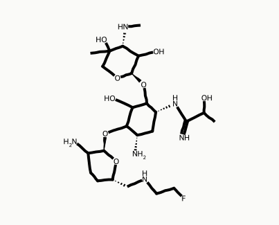 CN[C@@H]1C(O)[C@@H](OC2C(O)C(O[C@H]3O[C@H](CNCCF)CCC3N)[C@@H](N)C[C@H]2NC(=N)C(C)O)OCC1(C)O